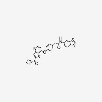 O=C(Cc1ccc(Oc2ccnc3cc(C(=O)N4CCC4)sc23)cc1)Nc1ccc2ncsc2c1